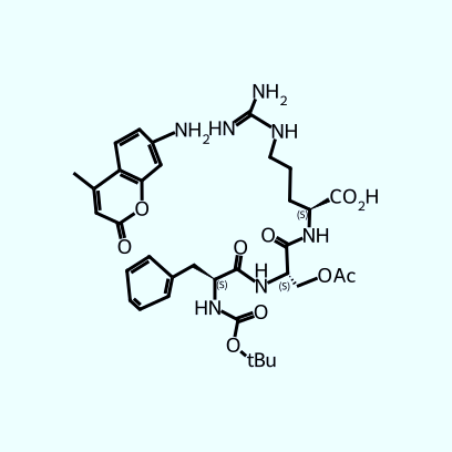 CC(=O)OC[C@H](NC(=O)[C@H](Cc1ccccc1)NC(=O)OC(C)(C)C)C(=O)N[C@@H](CCCNC(=N)N)C(=O)O.Cc1cc(=O)oc2cc(N)ccc12